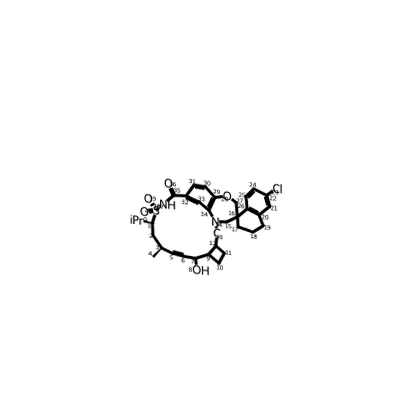 CC(C)[C@@H]1C[C@H](C)/C=C/C(O)C2CCC2CN2CC3(CCCc4cc(Cl)ccc43)COc3ccc(cc32)C(=O)NS1(=O)=O